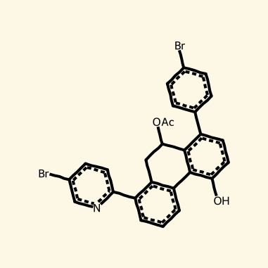 CC(=O)OC1Cc2c(-c3ccc(Br)cn3)cccc2-c2c(O)ccc(-c3ccc(Br)cc3)c21